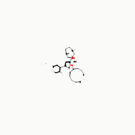 COc1cc(-c2cc(C(=O)N3[C@@H]4CC[C@H]3C[C@H](C(=O)N[C@@H]3CCCCC(=O)N[C@H](C)CC3)C4)n[nH]2)c(F)cn1